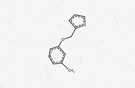 Cc1cccc(OCc2cccs2)c1